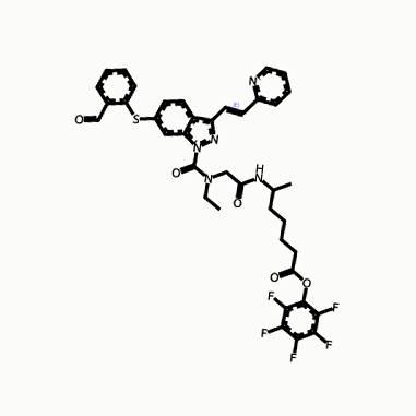 CCN(CC(=O)NC(C)CCCCC(=O)Oc1c(F)c(F)c(F)c(F)c1F)C(=O)n1nc(/C=C/c2ccccn2)c2ccc(Sc3ccccc3C=O)cc21